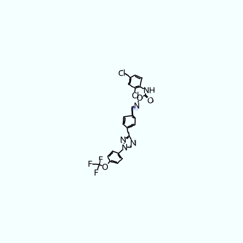 O=C(Nc1ccc(Cl)cc1Cl)O/N=C/c1ccc(-c2ncn(-c3ccc(OC(F)(F)F)cc3)n2)cc1